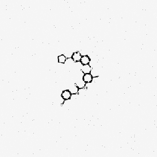 O=C(Nc1cccc(Cl)c1)Nc1cc(F)c(Oc2ccc3ncc(N4CCCC4)nc3c2)c(F)c1